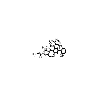 C=CC(=O)N1CC(C)N2c3nc(=O)n(-c4c(C(C)C)ncnc4C(C)C)c4c(Cl)c(-c5c(O)cccc5F)c(F)c(c34)OCCC2C1